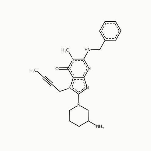 CC#CCn1c(N2CCCC(N)C2)nc2nc(NCc3ccccc3)n(C)c(=O)c21